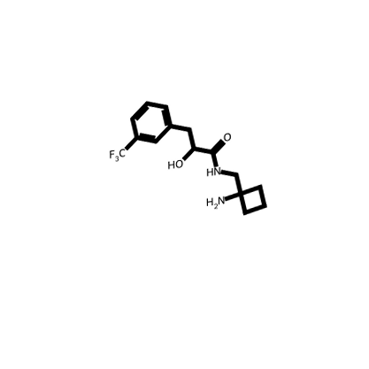 NC1(CNC(=O)C(O)Cc2cccc(C(F)(F)F)c2)CCC1